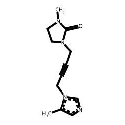 Cc1cncn1CC#CCN1CCN(C)C1=O